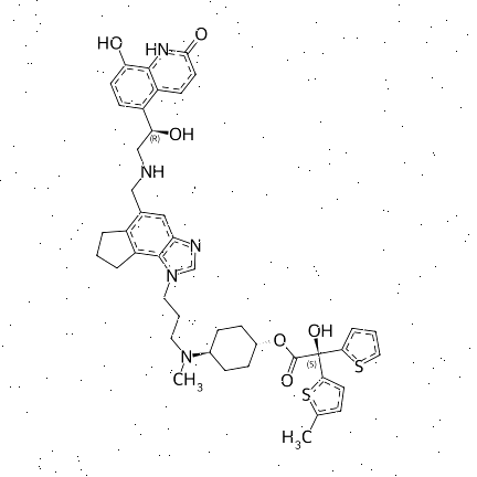 Cc1ccc([C@](O)(C(=O)O[C@H]2CC[C@H](N(C)CCCn3cnc4cc(CNC[C@H](O)c5ccc(O)c6[nH]c(=O)ccc56)c5c(c43)CCC5)CC2)c2cccs2)s1